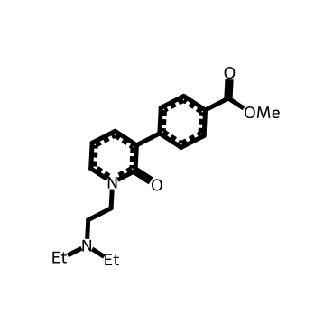 CCN(CC)CCn1cccc(-c2ccc(C(=O)OC)cc2)c1=O